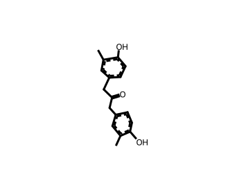 Cc1cc(CC(=O)Cc2ccc(O)c(C)c2)ccc1O